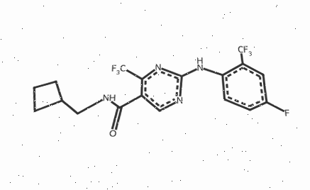 O=C(NCC1CCC1)c1cnc(Nc2ccc(F)cc2C(F)(F)F)nc1C(F)(F)F